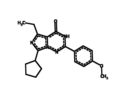 CCc1nc(C2CCCC2)n2nc(-c3ccc(OC)cc3)[nH]c(=O)c12